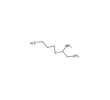 C[CH]C(N)CCCCC